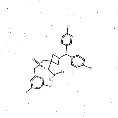 CCN(CC)CC1(CS(=O)(=O)Cc2cc(F)cc(F)c2)CN(C(c2ccc(Cl)cc2)c2ccc(Cl)cc2)C1